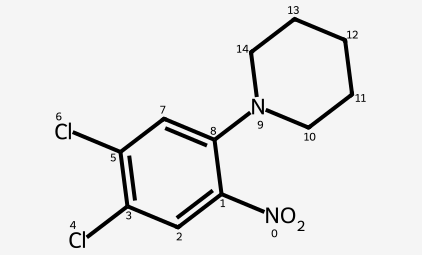 O=[N+]([O-])c1cc(Cl)c(Cl)cc1N1CCCCC1